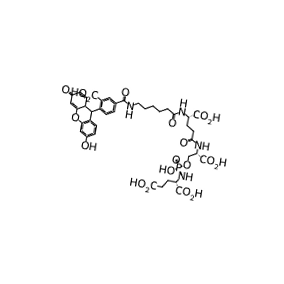 O=C1C=CC2C(=C1)Oc1cc(O)ccc1C2c1ccc(C(=O)NCCCCCC(=O)N[C@@H](CCC(=O)N[C@@H](COP(=O)(O)N[C@@H](CCC(=O)O)C(=O)O)C(=O)O)C(=O)O)cc1C(=O)O